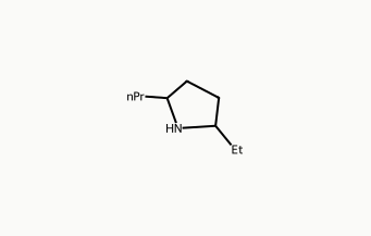 [CH2]CC1CCC(CCC)N1